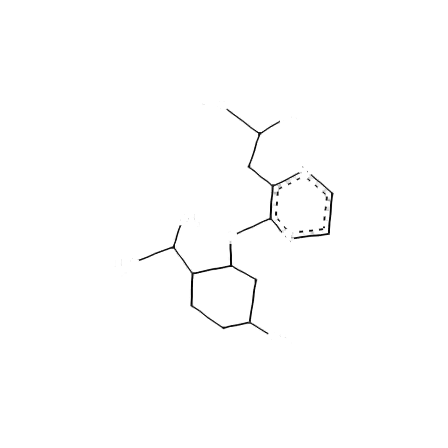 CC(C)Cc1nccnc1OC1CC(C)CCC1C(C)C